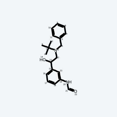 CC(C)(C)N(Cc1ccccc1)CC(O)c1cccc(NC=O)c1